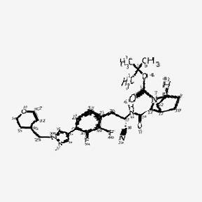 CC(C)(C)OC(=O)N1[C@@H]2CCC(C2)[C@H]1C(=O)N[C@H](C#N)Cc1ccc(-c2cnn(CC3CCOCC3)c2)c(F)c1F